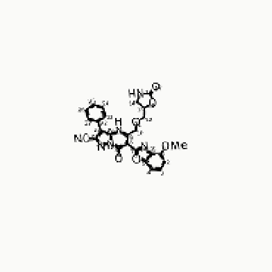 COc1cccc2oc(-c3c(COCC4CNC(=O)O4)[nH]c4c(-c5ccccc5)c(C#N)nn4c3=O)nc12